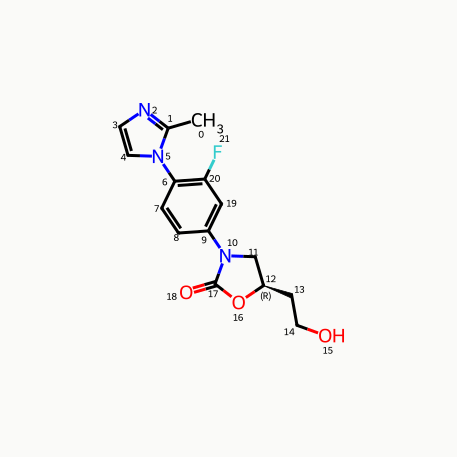 Cc1nccn1-c1ccc(N2C[C@@H](CCO)OC2=O)cc1F